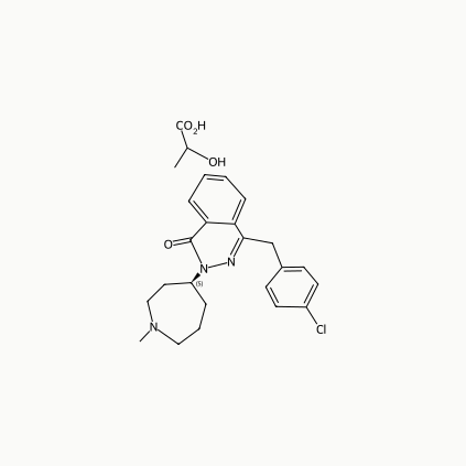 CC(O)C(=O)O.CN1CCC[C@H](n2nc(Cc3ccc(Cl)cc3)c3ccccc3c2=O)CC1